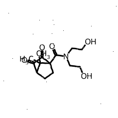 CC1(C)C2CCC1(C(=O)N(CCO)CCO)C(=O)C2=O